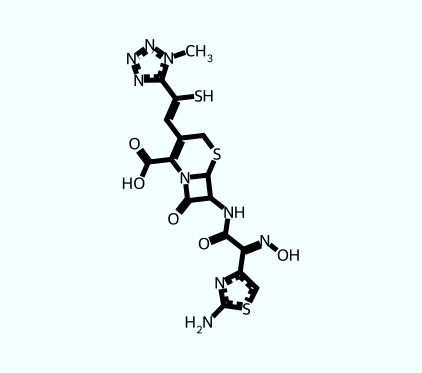 Cn1nnnc1C(S)=CC1=C(C(=O)O)N2C(=O)C(NC(=O)C(=NO)c3csc(N)n3)C2SC1